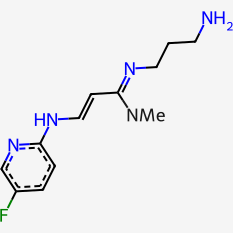 CNC(/C=C/Nc1ccc(F)cn1)=N\CCCN